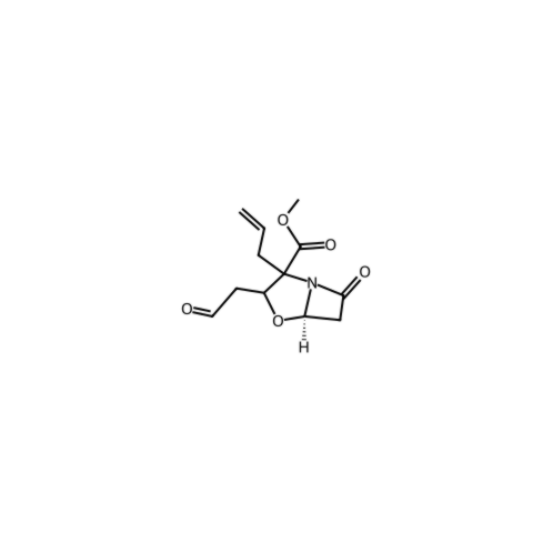 C=CCC1(C(=O)OC)C(CC=O)O[C@@H]2CC(=O)N21